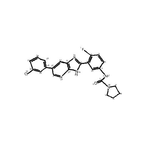 O=C(Nc1ccc(F)c(-c2nc3cc(-c4cccc(Cl)c4)cnc3[nH]2)c1)N1CCCC1